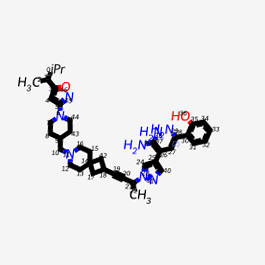 CC(C)C(C)c1cc(N2CCC(CN3CCC4(CC3)CC(C#CC(C)n3cc(C(/C=C(\N)c5ccccc5O)=C(N)N)cn3)C4)CC2)no1